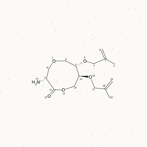 C=C(C)CO[C@H]1COC[C@@H](N)C(=O)OC[C@@H]1OCC(=C)C